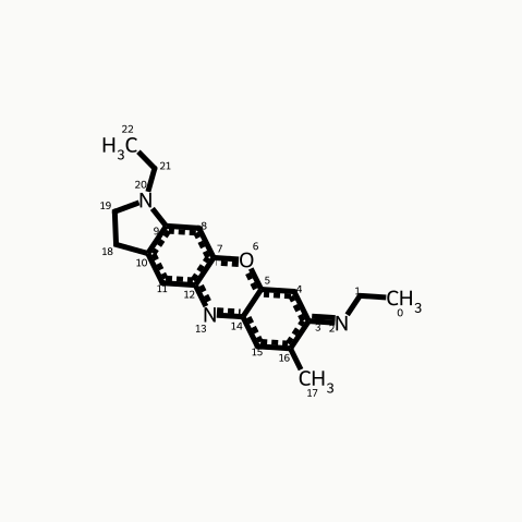 CCN=c1cc2oc3cc4c(cc3nc-2cc1C)CCN4CC